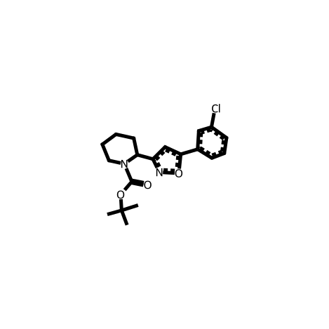 CC(C)(C)OC(=O)N1CCCCC1c1cc(-c2cccc(Cl)c2)on1